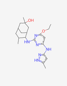 CCOc1cc(Nc2cc(C)[nH]n2)nc(NC2C(C)CC3CC2CC(C)(O)C3)n1